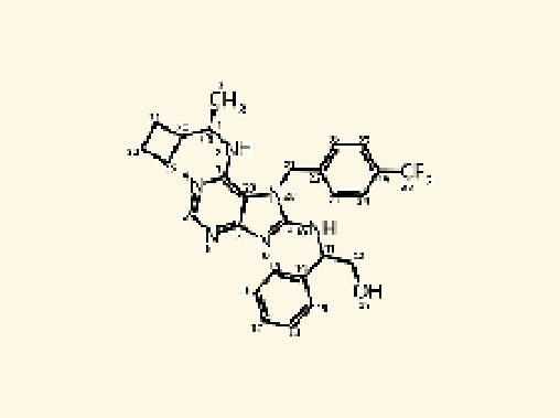 C[C@@H](Nc1ncnc2nc(NC(CO)c3ccccc3)n(Cc3ccc(C(F)(F)F)cc3)c12)C1CCC1